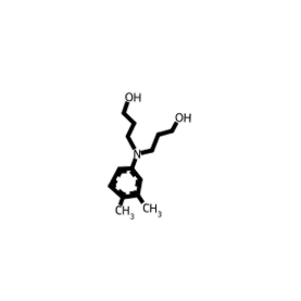 Cc1ccc(N(CCCO)CCCO)cc1C